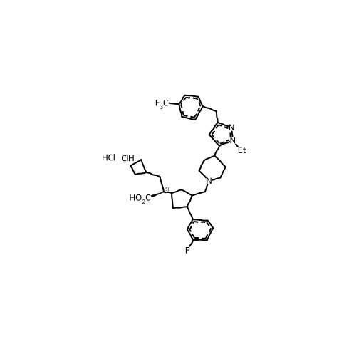 CCn1nc(Cc2ccc(C(F)(F)F)cc2)cc1C1CCN(CC2CC([C@H](CC3CCC3)C(=O)O)CC2c2cccc(F)c2)CC1.Cl.Cl